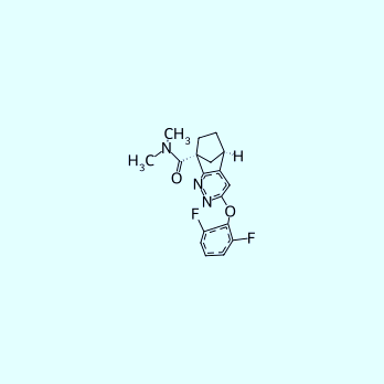 CN(C)C(=O)[C@]12CC[C@H](C1)c1cc(Oc3c(F)cccc3F)nnc12